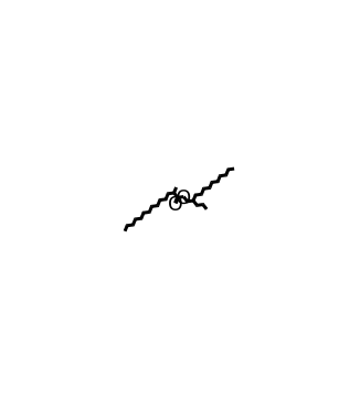 CCCCCCCCCCCCC(C)C(=O)OCC(CCC)CCCCCCCCCC